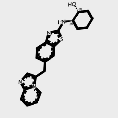 O[C@@H]1CCCC[C@H]1Nc1nc2ccc(Cc3cnc4ccccn34)cc2s1